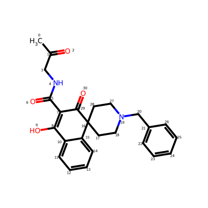 CC(=O)CNC(=O)C1=C(O)c2ccccc2C2(CCN(Cc3ccccc3)CC2)C1=O